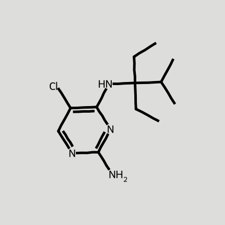 CCC(CC)(Nc1nc(N)ncc1Cl)C(C)C